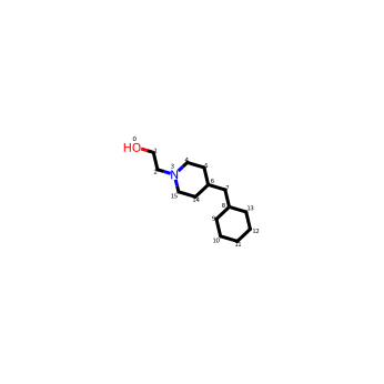 OCCN1CCC(CC2CCCCC2)CC1